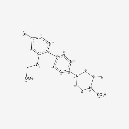 COCOc1cc(Br)cnc1-c1ccc(N2CCN(C(=O)O)C(C)C2)nn1